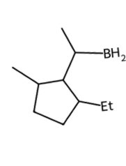 BC(C)C1C(C)CCC1CC